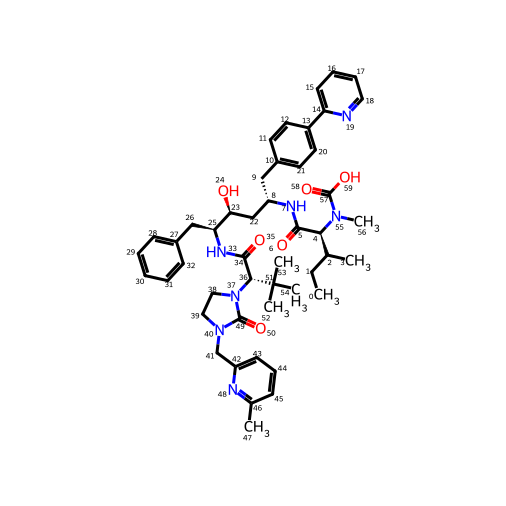 CCC(C)[C@@H](C(=O)N[C@@H](Cc1ccc(-c2ccccn2)cc1)C[C@H](O)[C@H](Cc1ccccc1)NC(=O)[C@@H](N1CCN(Cc2cccc(C)n2)C1=O)C(C)(C)C)N(C)C(=O)O